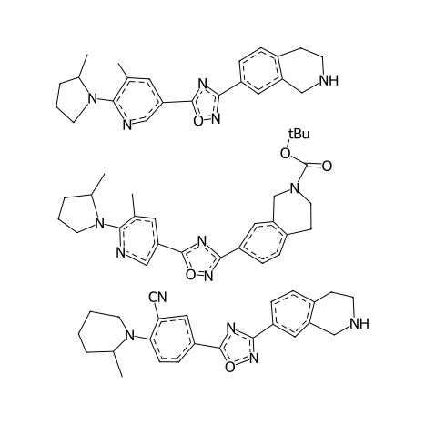 CC1CCCCN1c1ccc(-c2nc(-c3ccc4c(c3)CNCC4)no2)cc1C#N.Cc1cc(-c2nc(-c3ccc4c(c3)CN(C(=O)OC(C)(C)C)CC4)no2)cnc1N1CCCC1C.Cc1cc(-c2nc(-c3ccc4c(c3)CNCC4)no2)cnc1N1CCCC1C